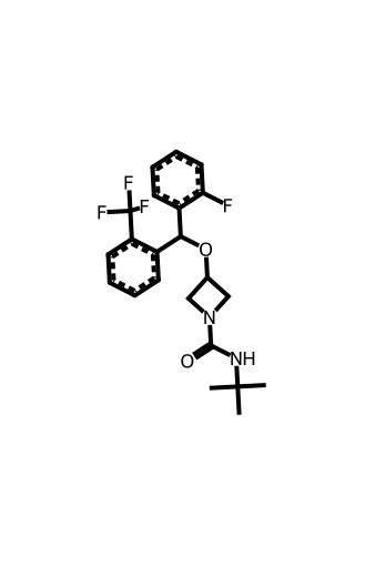 CC(C)(C)NC(=O)N1CC(OC(c2ccccc2F)c2ccccc2C(F)(F)F)C1